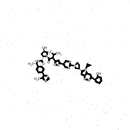 Cc1ncsc1-c1ccc([C@H](C)NC(=O)[C@@H]2C[C@@H](O)CN2C(=O)C(c2cc(-c3cnc(N4CC[C@H](c5cc6nnc(-c7ccccc7O)cc6n5C5CC5)C4)nc3)no2)C(C)C)cc1